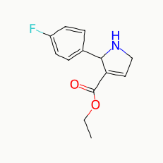 CCOC(=O)C1=CCNC1c1ccc(F)cc1